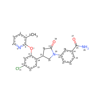 Cc1cccnc1Oc1cc(Cl)ccc1C1CC(=O)N(c2cccc(C(N)=O)c2)C1